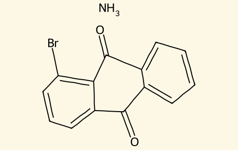 N.O=C1c2ccccc2C(=O)c2c(Br)cccc21